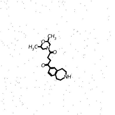 CC1CN(C(=O)CCC(=O)c2ccc3c(c2)CCNCC3)CC(C)O1